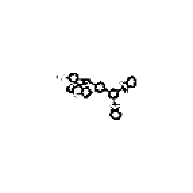 Cc1ccc2c(c1)C1(c3ccccc3Oc3ccccc31)c1cc(-c3ccc(-c4cc(-c5nc6ccccc6o5)cc(-c5nc6ccccc6o5)c4)cc3)ccc1-2